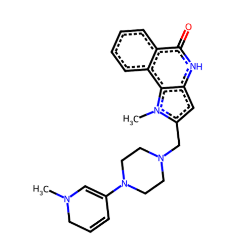 CN1C=C(N2CCN(Cc3cc4[nH]c(=O)c5ccccc5c4n3C)CC2)C=CC1